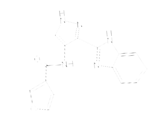 O=C(Nc1c[nH]nc1-c1nc2ccccc2[nH]1)c1ccoc1